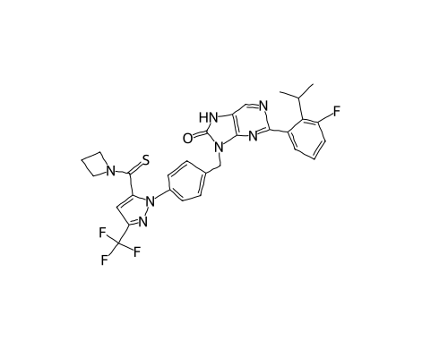 CC(C)c1c(F)cccc1-c1ncc2[nH]c(=O)n(Cc3ccc(-n4nc(C(F)(F)F)cc4C(=S)N4CCC4)cc3)c2n1